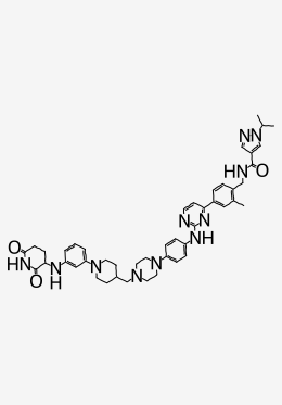 Cc1cc(-c2ccnc(Nc3ccc(N4CCN(CC5CCN(c6cccc(NC7CCC(=O)NC7=O)c6)CC5)CC4)cc3)n2)ccc1CNC(=O)c1cnn(C(C)C)c1